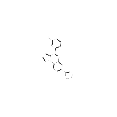 Clc1cccc(-c2nc3cc(-c4nnn[nH]4)ccc3n3cccc23)c1